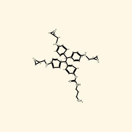 CCCCNC(=O)Oc1ccc(C(c2ccc(OCC3CO3)cc2)C(c2ccc(OCC3CO3)cc2)c2ccc(OCC3CO3)cc2)cc1